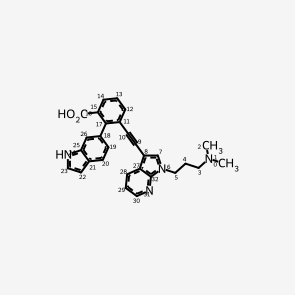 CN(C)CCCn1cc(C#Cc2cccc(C(=O)O)c2-c2ccc3cc[nH]c3c2)c2cccnc21